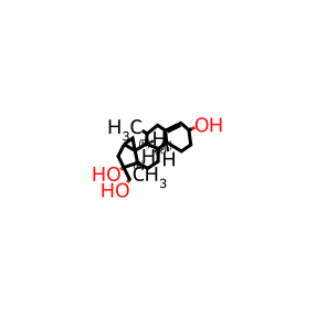 CC1CC2=CC(O)CC[C@@H]2[C@H]2CC[C@]3(C)C(O)(CO)CC4CC43[C@H]12